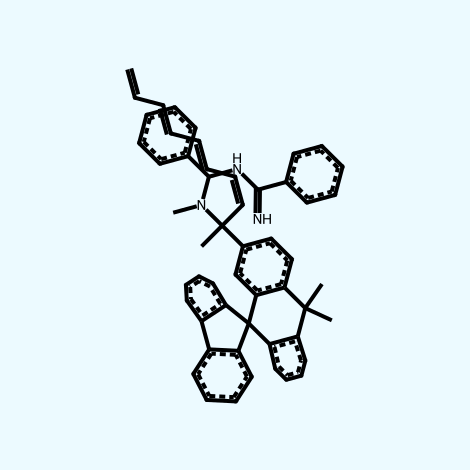 C=C/C=C/C=C/C=C\C(C)(c1ccc2c(c1)C1(c3ccccc3-c3ccccc31)c1ccccc1C2(C)C)N(C)C(NC(=N)c1ccccc1)c1ccccc1